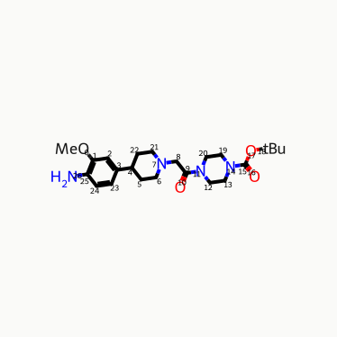 COc1cc(C2CCN(CC(=O)N3CCN(C(=O)OC(C)(C)C)CC3)CC2)ccc1N